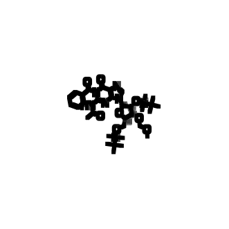 COCO[C@H]1[C@@H](O[Si](C)(C)C(C)(C)C)[C@H](n2cnc3c(=O)n(C(=O)c4ccccc4)c(NC(C)=O)nc32)O[C@@H]1CO[Si](C)(C)C(C)(C)C